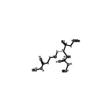 COCC(=S)[C@@H](COCCC(=O)OC(C)(C)C)NC(=O)OC(C)(C)C